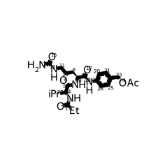 CCC(=O)NC(C(=O)N[C@@H](CCCNC(N)=O)C(=O)Nc1ccc(COC(C)=O)cc1)C(C)C